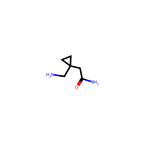 NCC1(CC(N)=O)CC1